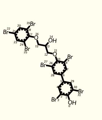 Oc1c(Br)cc(-c2cc(Br)c(OCC(O)COc3c(Br)cc(Br)cc3Br)c(Br)c2)cc1Br